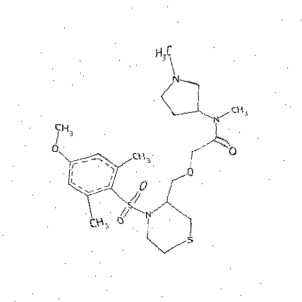 COc1cc(C)c(S(=O)(=O)N2CCSCC2COCC(=O)N(C)C2CCN(C)C2)c(C)c1